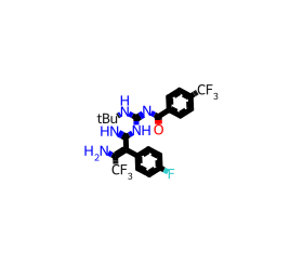 CC(C)(C)N/C(=N/C(=O)c1ccc(C(F)(F)F)cc1)NC(=N)/C(=C(\N)C(F)(F)F)c1ccc(F)cc1